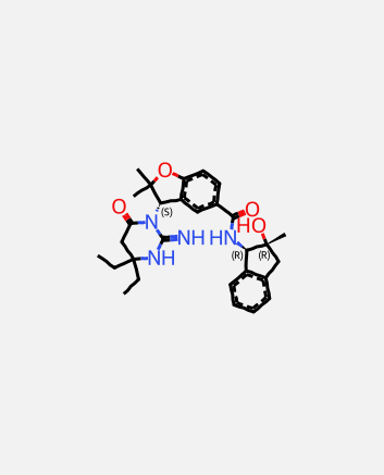 CCC1(CC)CC(=O)N([C@H]2c3cc(C(=O)N[C@@H]4c5ccccc5C[C@@]4(C)O)ccc3OC2(C)C)C(=N)N1